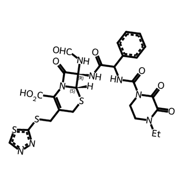 CCN1CCN(C(=O)NC(C(=O)N[C@]2(NC=O)C(=O)N3C(C(=O)O)=C(CSc4nncs4)CS[C@H]32)c2ccccc2)C(=O)C1=O